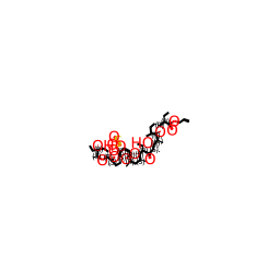 C=CCOC(=O)[C@H](CC)[C@H]1CCC(C)[C@H]([C@@H](C)[C@H](O)[C@H](C)C(=O)[C@H](CC)[C@H]2O[C@]3(C=C[C@@H](OOS(C)(=O)=O)[C@]4(CC[C@@](C)([C@H]5CC[C@](O)(CC)[C@H](C)O5)O4)O3)[C@H](C)C[C@@H]2C)O1